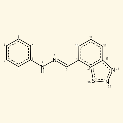 C(=NNc1ccccc1)c1cccc2nnsc12